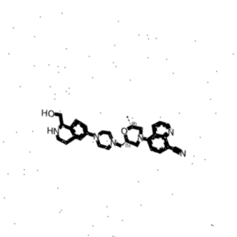 C[C@@H]1CN(c2ccc(C#N)c3ncccc23)C[C@H](CN2CCN(c3ccc4c(c3)CCNC4CO)CC2)O1